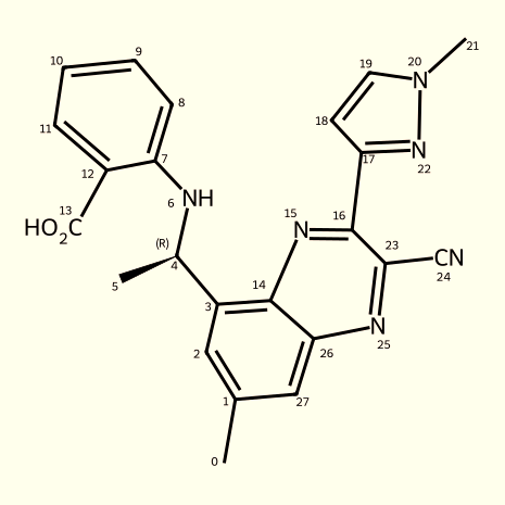 Cc1cc([C@@H](C)Nc2ccccc2C(=O)O)c2nc(-c3ccn(C)n3)c(C#N)nc2c1